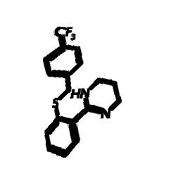 FC(F)(F)c1ccc(CSc2ccccc2C2=NCCCN2)cc1